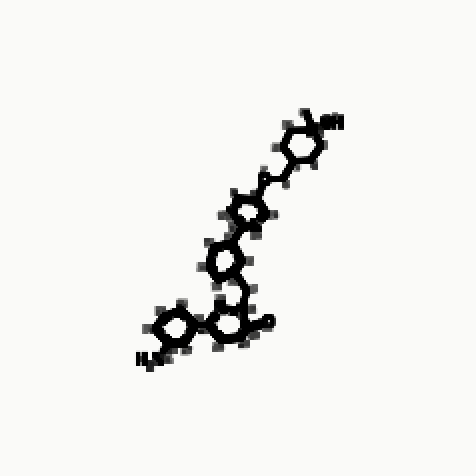 C[N+]1(O)CCC(COc2cnc(-c3cccc(Cn4nc(-c5cccc(N)c5)ccc4=O)c3)nc2)CC1